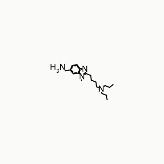 CCCN(CCC)CCCCc1nc2ccc(CN)cc2n1C